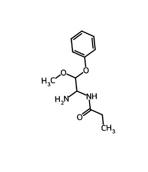 CCC(=O)NC(N)C(OC)Oc1ccccc1